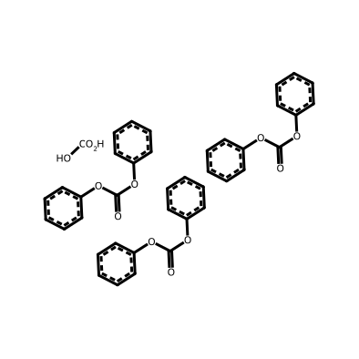 O=C(O)O.O=C(Oc1ccccc1)Oc1ccccc1.O=C(Oc1ccccc1)Oc1ccccc1.O=C(Oc1ccccc1)Oc1ccccc1